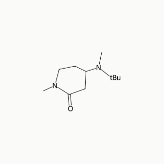 CN1CCC(N(C)C(C)(C)C)CC1=O